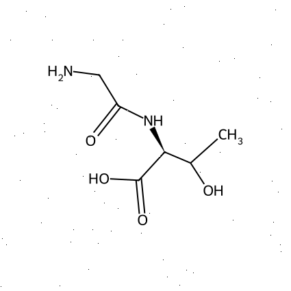 CC(O)[C@H](NC(=O)CN)C(=O)O